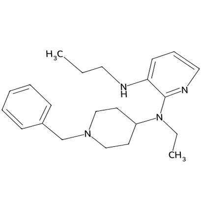 CCCNc1cccnc1N(CC)C1CCN(Cc2ccccc2)CC1